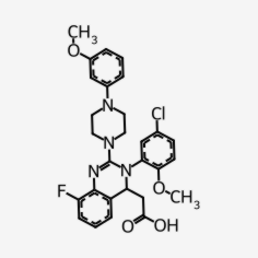 COc1cccc(N2CCN(C3=Nc4c(F)cccc4C(CC(=O)O)N3c3cc(Cl)ccc3OC)CC2)c1